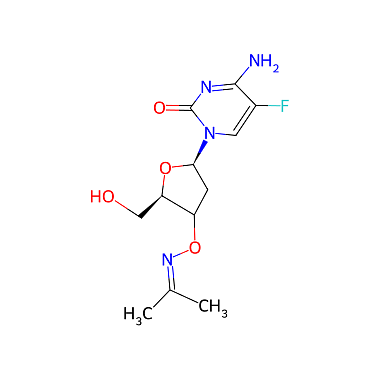 CC(C)=NOC1C[C@H](n2cc(F)c(N)nc2=O)O[C@@H]1CO